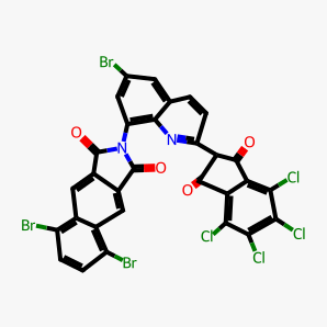 O=C1c2c(Cl)c(Cl)c(Cl)c(Cl)c2C(=O)C1c1ccc2cc(Br)cc(N3C(=O)c4cc5c(Br)ccc(Br)c5cc4C3=O)c2n1